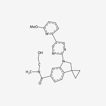 COc1cccc(-c2cnc(N3CC4(CC4)c4ccc(C(=O)N(C)CCO)cc43)nc2)n1